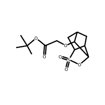 CC(C)(C)OC(=O)COC1C2CC3C1OS(=O)(=O)C3C2